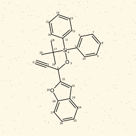 C#CC(O[Si](c1ccccc1)(c1ccccc1)C(C)(C)C)c1cc2ccccc2o1